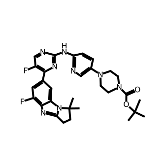 CC(C)(C)OC(=O)N1CCN(c2ccc(Nc3ncc(F)c(-c4cc(F)c5nc6n(c5c4)C(C)(C)CC6)n3)nc2)CC1